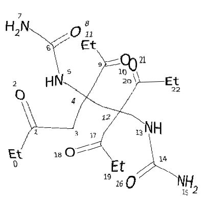 CCC(=O)CC(NC(N)=O)(C(=O)CC)C(NC(N)=O)(C(=O)CC)C(=O)CC